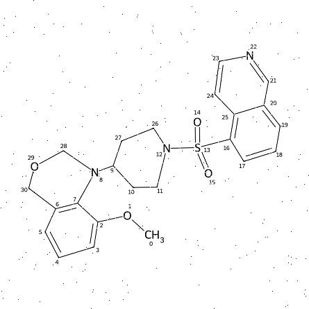 COc1cccc2c1N(C1CCN(S(=O)(=O)c3cccc4cnccc34)CC1)COC2